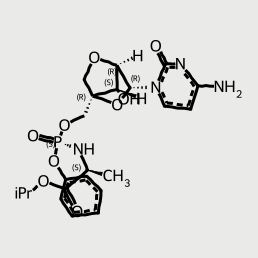 CC(C)OC(=O)[C@H](C)N[P@](=O)(OC[C@@]12CO[C@@H]([C@H](n3ccc(N)nc3=O)O1)[C@@H]2O)Oc1ccccc1